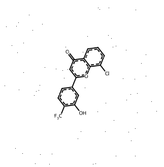 O=c1cc(-c2ccc(C(F)(F)F)c(O)c2)oc2c(Cl)cccc12